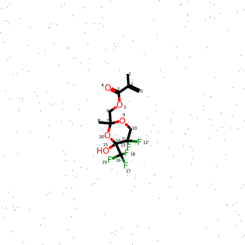 C=C(C)C(=O)OCC1(C)OCC(F)(F)C(O)(C(F)(F)F)O1